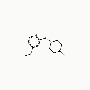 COc1ccnc(OC2CCN(C)CC2)c1